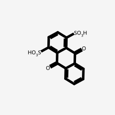 O=C1c2ccccc2C(=O)c2c(S(=O)(=O)O)ccc(S(=O)(=O)O)c21